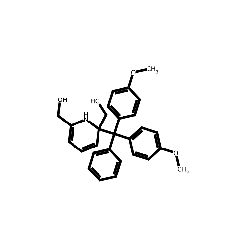 COc1ccc(C(c2ccccc2)(c2ccc(OC)cc2)C2(CO)C=CC=C(CO)N2)cc1